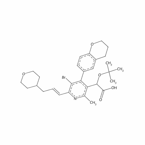 Cc1nc(C=CCC2CCOCC2)c(Br)c(-c2ccc3c(c2)CCCO3)c1C(OC(C)(C)C)C(=O)O